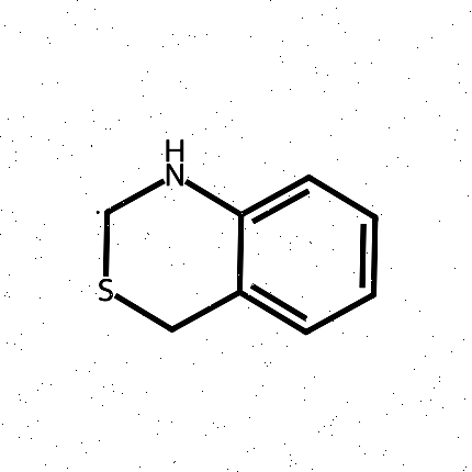 [CH]1Nc2ccccc2CS1